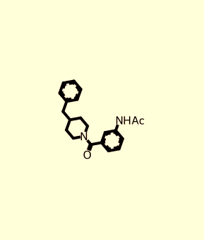 CC(=O)Nc1cccc(C(=O)N2CCC(Cc3ccccc3)CC2)c1